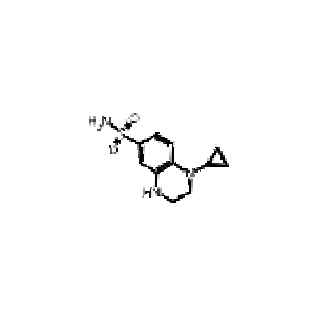 NS(=O)(=O)c1ccc2c(c1)NCCN2C1CC1